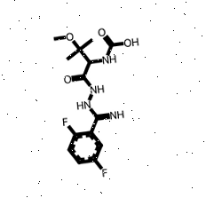 COC(C)(C)C(NC(=O)O)C(=O)NNC(=N)c1cc(F)ccc1F